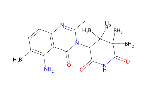 Bc1ccc2nc(C)n(C3C(=O)NC(=O)C(B)(B)C3(B)B)c(=O)c2c1N